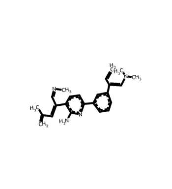 C=C/C(=C\N(C)C)c1cccc(-c2ccc(C(/C=N\C)=C/C(=C)C)c(N)n2)c1